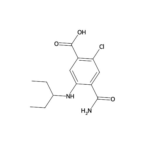 CCC(CC)Nc1cc(C(=O)O)c(Cl)cc1C(N)=O